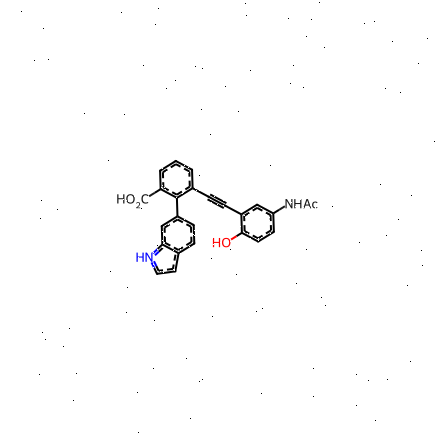 CC(=O)Nc1ccc(O)c(C#Cc2cccc(C(=O)O)c2-c2ccc3cc[nH]c3c2)c1